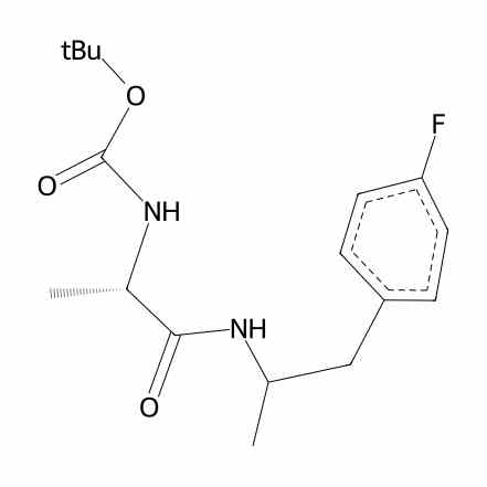 CC(Cc1ccc(F)cc1)NC(=O)[C@H](C)NC(=O)OC(C)(C)C